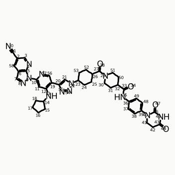 N#Cc1cnc2c(cnn2-c2cc(NC3CCCC3)c(-c3cn(C4CCC(C(=O)N5CCC(C(=O)Nc6ccc(N7CCC(=O)NC7=O)cc6)CC5)CC4)nn3)cn2)c1